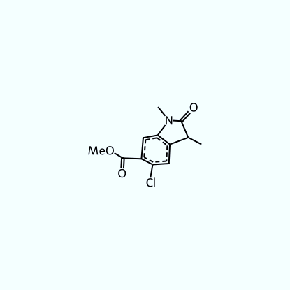 COC(=O)c1cc2c(cc1Cl)C(C)C(=O)N2C